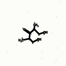 CC(CO)C(=O)C(C)CO